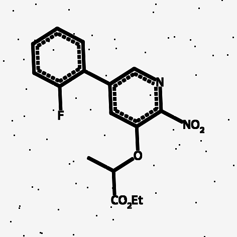 CCOC(=O)C(C)Oc1cc(-c2ccccc2F)cnc1[N+](=O)[O-]